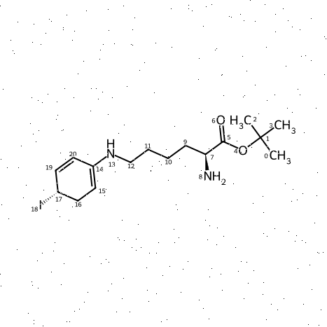 CC(C)(C)OC(=O)[C@@H](N)CCCCNC1=CC[C@H](I)C=C1